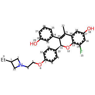 CCC1CN(CCOc2ccc([C@@H]3Oc4c(F)cc(O)cc4C(C)=C3c3cccc(O)c3)cc2)C1